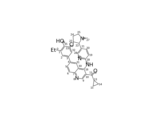 CCc1cc(-c2ccc3ncc(C(=O)C4CC4)c(Nc4ccc(C5CCCN5C)cn4)c3c2)cc(Cl)c1O